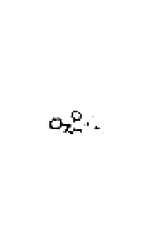 Cc1cccc(NC(=O)OC(C)(C)C)c1-n1c(C(=O)O)cc2oc3ccccc3c21